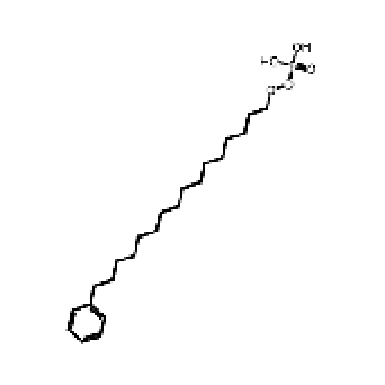 O=P(O)(O)OOCCCCCCCCCCCCCCCCc1ccccc1